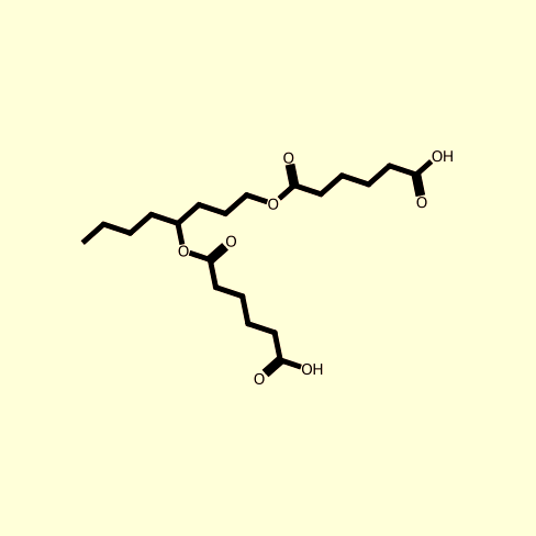 CCCCC(CCCOC(=O)CCCCC(=O)O)OC(=O)CCCCC(=O)O